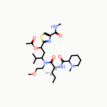 CC[C@H](C)[C@H](NC(=O)C1CCCCN1C)C(=O)N(CCOC)C(CC(OC(C)=O)c1nc(C(=O)NC)cs1)C(C)C